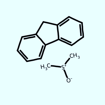 C[S+](C)[O-].c1ccc2c(c1)Cc1ccccc1-2